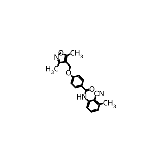 Cc1cccc(NC(=O)c2ccc(OCc3c(C)noc3C)cc2)c1C#N